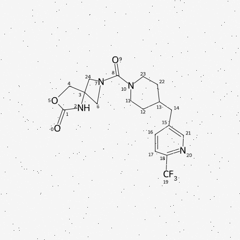 O=C1NC2(CO1)CN(C(=O)N1CCC(Cc3ccc(C(F)(F)F)nc3)CC1)C2